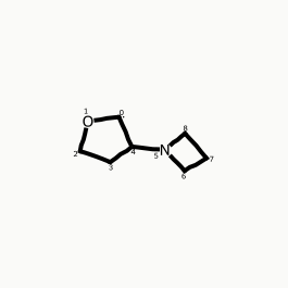 [CH]1OCCC1N1CCC1